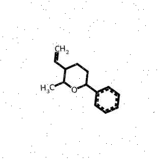 C=CC1CCC(c2ccccc2)OC1C